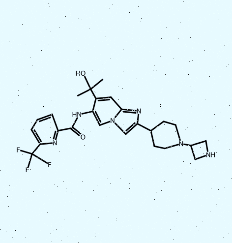 CC(C)(O)c1cc2nc(C3CCN(C4CNC4)CC3)cn2cc1NC(=O)c1cccc(C(F)(F)F)n1